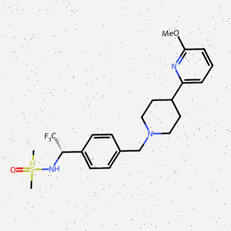 COc1cccc(C2CCN(Cc3ccc([C@H](N[SH](C)(C)=O)C(F)(F)F)cc3)CC2)n1